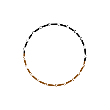 C1CCCCCSSSSSSSSSSCCCCC1